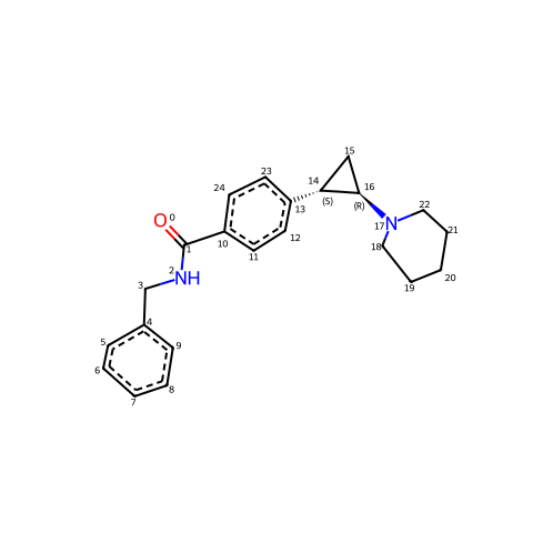 O=C(NCc1ccccc1)c1ccc([C@@H]2C[C@H]2N2CCCCC2)cc1